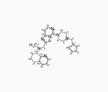 CN(Cc1cn2c(N3CCN(Cc4cccs4)CC3)nccc2n1)C1CCCc2cccnc21